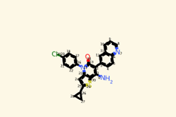 Nc1c(-c2ccc3ncccc3c2)c(=O)n(-c2ccc(Cl)cc2)c2cc(C3CC3)sc12